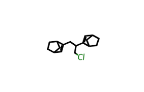 ClCC(CC1=CC2CCC1C2)C1=CC2CCC1C2